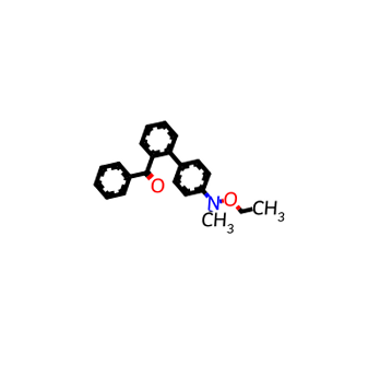 CCON(C)c1ccc(-c2ccccc2C(=O)c2ccccc2)cc1